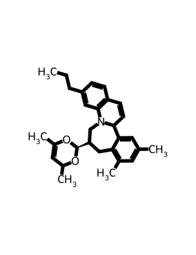 CCCc1ccc2c(c1)N1CC([C@@H]3OC(C)=CC(C)O3)Cc3c(C)cc(C)cc3C1C=C2